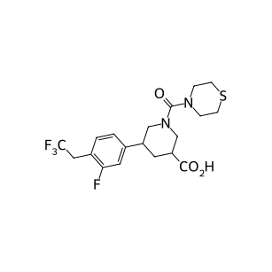 O=C(O)C1CC(c2ccc(CC(F)(F)F)c(F)c2)CN(C(=O)N2CCSCC2)C1